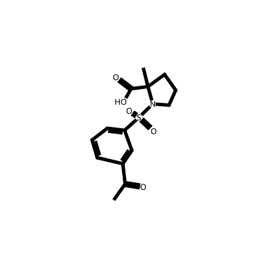 CC(=O)c1cccc(S(=O)(=O)N2CCCC2(C)C(=O)O)c1